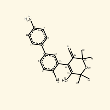 CCc1ccc(-c2ccc(N)cc2)cc1C1=C(O)C(C)(C)OC(C)(C)C1=O